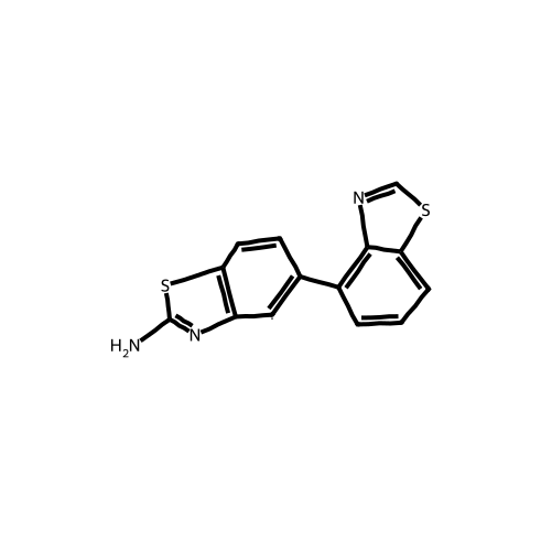 Nc1nc2[c]c(-c3cccc4scnc34)ccc2s1